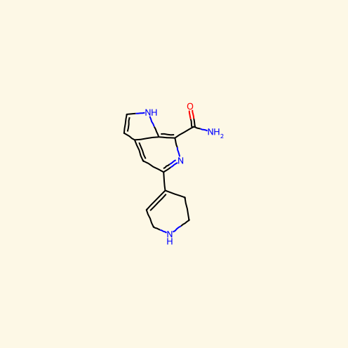 NC(=O)c1nc(C2=CCNCC2)cc2cc[nH]c12